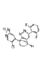 Nc1cc([C@]23CC[C@H](CC2)c2cc(-c4c(F)cccc4F)nnc23)c(Cl)cn1